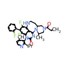 C=CC(=O)N1CC(C)N2c3nc(=O)n(-c4c(C)ccnc4C(C)C)c4c(F)c(-c5ccccc5F)c(F)c(c34)NCCC2C1